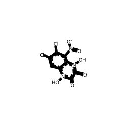 O=c1c(=O)n(O)c2c([N+](=O)[O-])c(Cl)c(Cl)cc2n1O